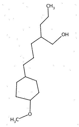 CCCC(CO)CCCC1CCC(OC)CC1